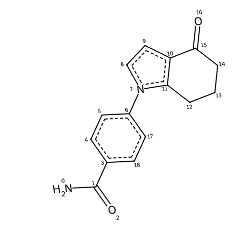 NC(=O)c1ccc(-n2ccc3c2CCCC3=O)cc1